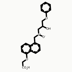 O=C(O)COc1cccc2c(C[S+]([O-])CC(O)COc3ccccc3)cccc12